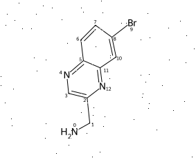 NCc1cnc2ccc(Br)cc2n1